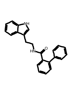 O=C(NCCc1c[nH]c2ccccc12)c1ccccc1-c1ccccc1